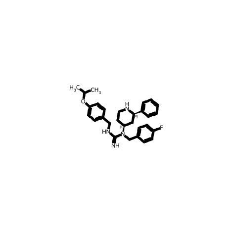 CC(C)Oc1ccc(CNC(=N)N(Cc2ccc(F)cc2)[C@H]2CCN[C@@H](c3ccccc3)C2)cc1